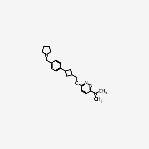 CN(C)c1ccc(OCC2CC(c3ccc(CN4CCCC4)cc3)C2)nn1